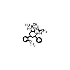 COc1ccccc1C1CC(NC(C)(C)C)C(=O)N(NC(C)=O)C(c2ccccc2)C1